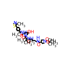 Cc1ncsc1-c1ccc([C@H](C)NC(=O)[C@@H]2C[C@@H](O)CN2C(=O)[C@@H](NC(=O)CCCCNC(=O)C2CCN(C(=O)OC(C)(C)C)CC2)C(C)(C)C)cc1